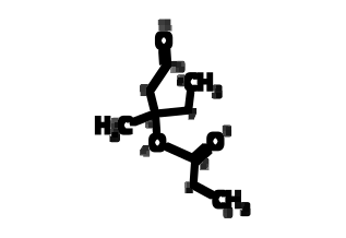 CCC(=O)OC(C)(CC)CC=O